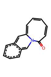 O=C1C=CC=CC=C2C=c3ccccc3=CN12